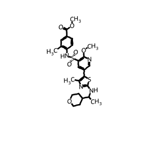 COC(=O)c1ccc(NS(=O)(=O)c2cc(-c3sc(NC(C)C4CCOCC4)nc3C)cnc2OC)c(C)c1